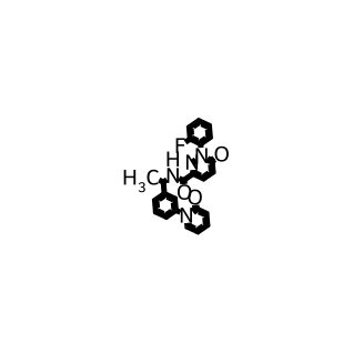 CC(NC(=O)c1ccc(=O)n(-c2ccccc2F)n1)c1cccc(-n2ccccc2=O)c1